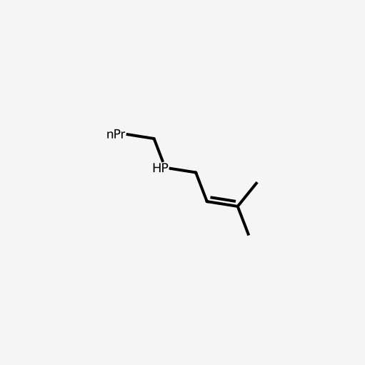 CCCCPCC=C(C)C